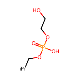 CC(C)COP(=O)(O)OCCO